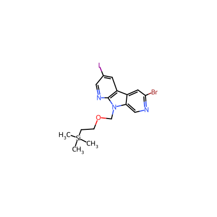 C[Si](C)(C)CCOCn1c2cnc(Br)cc2c2cc(I)cnc21